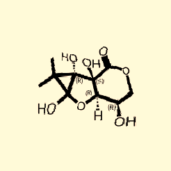 CC1(C)C2(O)O[C@@H]3[C@H](O)COC(=O)[C@@]3(O)[C@]12O